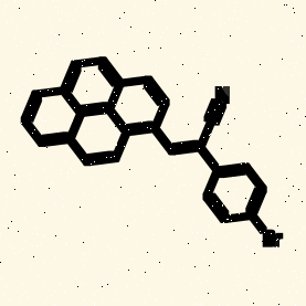 N#CC(=Cc1ccc2ccc3cccc4ccc1c2c34)c1ccc(Br)cc1